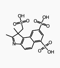 CC1=Nc2ccc3c(S(=O)(=O)O)cc(S(=O)(=O)O)cc3c2C1(C)CS(=O)(=O)O